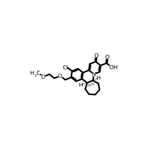 COCCOCc1cc2c(cc1Cl)-c1cc(=O)c(C(=O)O)cn1[C@H]1CCCCC[C@@H]21